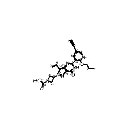 C#Cc1cnc(OCCC)c(-c2nc3c(CC)n(C4CN(C(=O)O)C4)nc3c(=O)[nH]2)c1